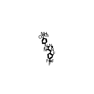 NS(=O)(=O)c1ccc(-n2cnc3c(-c4ccc(C(F)(F)F)cc4F)ncnc32)cc1